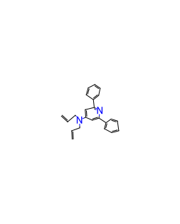 C=CCN(CC=C)c1cc(-c2ccccc2)nc(-c2ccccc2)c1